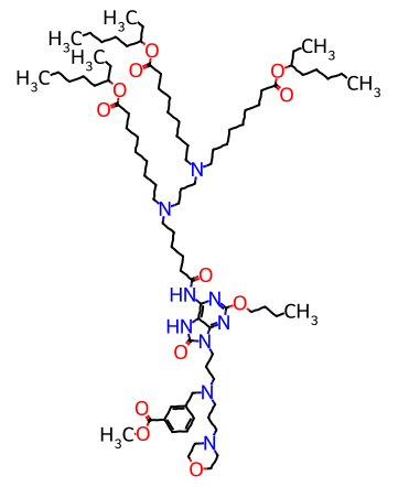 CCCCCC(CC)OC(=O)CCCCCCCCN(CCCCCCCCC(=O)OC(CC)CCCCC)CCCN(CCCCCCCCC(=O)OC(CC)CCCCC)CCCCCC(=O)Nc1nc(OCCCC)nc2c1[nH]c(=O)n2CCCN(CCCN1CCOCC1)Cc1cccc(C(=O)OC)c1